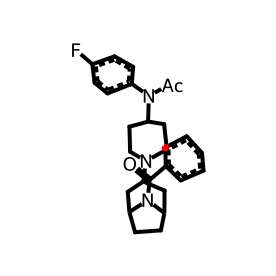 CC(=O)N(c1ccc(F)cc1)C1CCN(C2CC3CCC(C2)N3C(=O)c2ccccc2)CC1